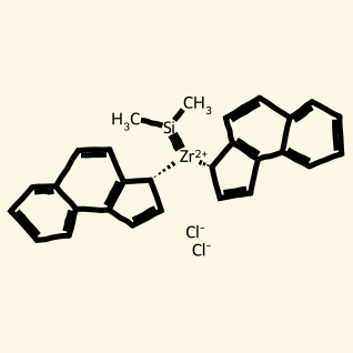 C[Si](C)=[Zr+2]([C@@H]1C=Cc2c1ccc1ccccc21)[C@H]1C=Cc2c1ccc1ccccc21.[Cl-].[Cl-]